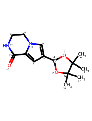 CC1(C)OB(c2cc3n(c2)CCNC3=O)OC1(C)C